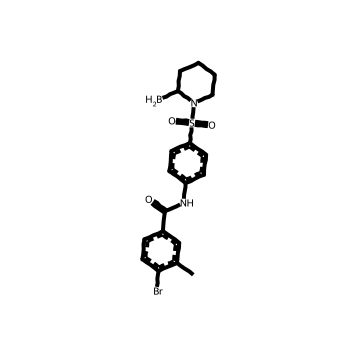 BC1CCCCN1S(=O)(=O)c1ccc(NC(=O)c2ccc(Br)c(C)c2)cc1